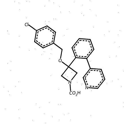 O=C(O)N1CC(OCc2ccc(Cl)cc2)(c2ccccc2-c2cccnc2)C1